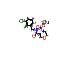 CC(C)(C)OC(=O)N1CCOC[C@H]1C(=O)NCc1cccc(Cl)c1F